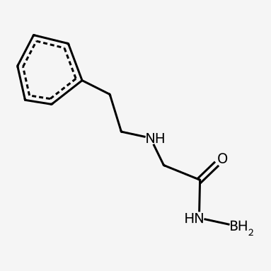 BNC(=O)CNCCc1ccccc1